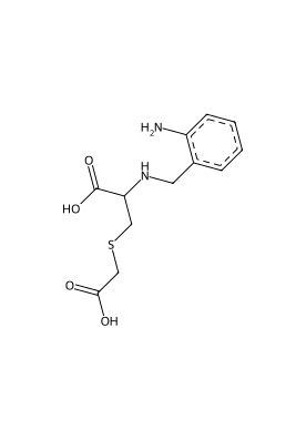 Nc1ccccc1CNC(CSCC(=O)O)C(=O)O